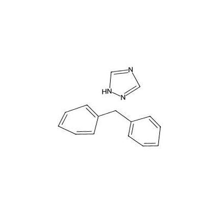 c1ccc(Cc2ccccc2)cc1.c1nc[nH]n1